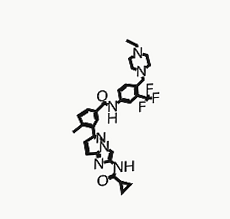 CCN1CCN(Cc2ccc(NC(=O)c3ccc(C)c(-c4ccc5nc(NC(=O)C6CC6)cn5n4)c3)cc2C(F)(F)F)CC1